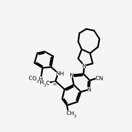 Cc1cc([C@@H](C)Nc2ccccc2C(=O)O)c2nc(N3CC4CCCCCCC4C3)c(C#N)nc2c1